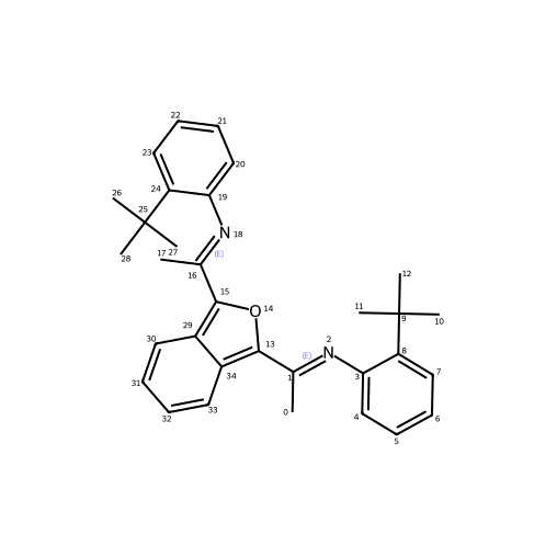 C/C(=N\c1ccccc1C(C)(C)C)c1oc(/C(C)=N/c2ccccc2C(C)(C)C)c2ccccc12